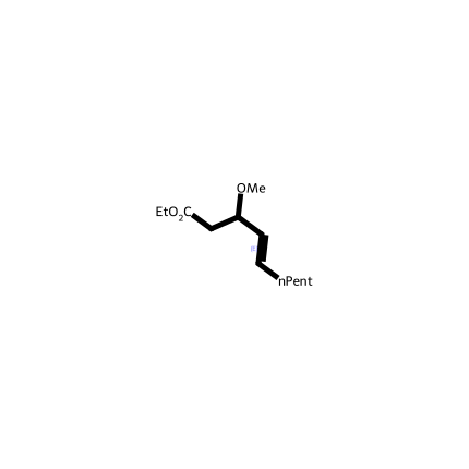 CCCCC/C=C/C(CC(=O)OCC)OC